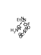 CCc1ncnc(-c2ccc(C(=O)N3CCN(C4CCS(=O)(=O)C4)CC3)c(F)c2)c1C#Cc1ccc(N)nc1C